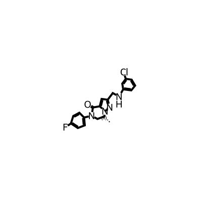 C[C@@H]1CN(c2ccc(F)cc2)C(=O)c2cc(CNc3cccc(Cl)c3)nn21